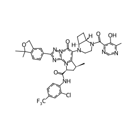 Cc1ncnc(C(=O)N2CCN(c3c4n(c5nc(-c6ccc7c(c6)COC7(C)C)nn5c3=O)[C@H](C(=O)Nc3ccc(C(F)(F)F)cc3Cl)C[C@@H]4C)[C@H]3CC[C@@H]32)c1O